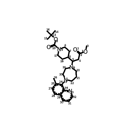 COC(=O)CC(C1CCN(C(=O)OC(C)(C)C)CC1)N1CCCN(c2c(C)ccc3cccnc23)CC1